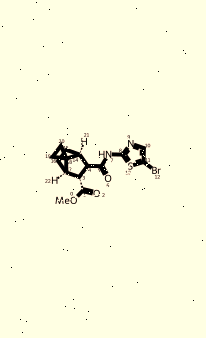 COC(=O)[C@H]1C(C(=O)Nc2ncc(Br)s2)[C@@H]2CC[C@H]1C21CC1